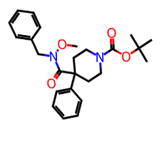 CON(Cc1ccccc1)C(=O)C1(c2ccccc2)CCN(C(=O)OC(C)(C)C)CC1